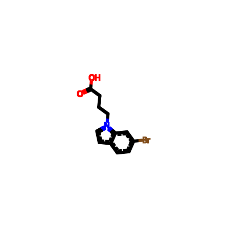 O=C(O)CCCn1ccc2ccc(Br)cc21